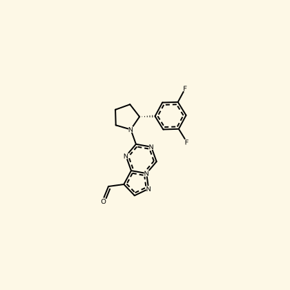 O=Cc1cnn2cnc(N3CCC[C@@H]3c3cc(F)cc(F)c3)nc12